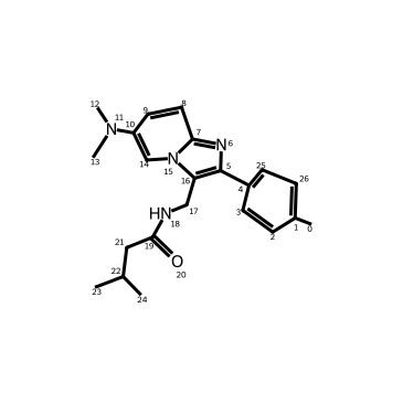 Cc1ccc(-c2nc3ccc(N(C)C)cn3c2CNC(=O)CC(C)C)cc1